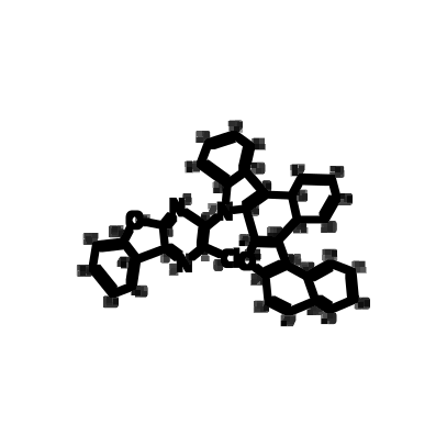 Clc1nc2c(nc1-n1c3c(c4ccccc41)C1C=CC=CC1c1c-3oc3ccc4ccccc4c13)oc1ccccc12